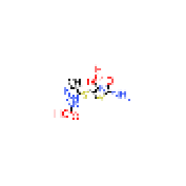 Cc1cc(SCC2=C(C(=O)O)N3C(=O)C(N)C3SC2)n2nc(C(=O)O)nc2n1